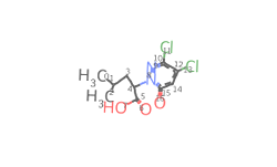 CC(C)CC(C(=O)O)n1nc(Cl)c(Cl)cc1=O